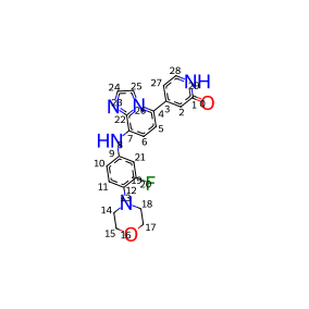 O=c1cc(-c2ccc(Nc3ccc(N4CCOCC4)c(F)c3)c3nccn23)cc[nH]1